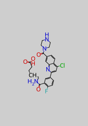 CCCC(=O)O.NC(=O)c1cc(-c2cc(Cl)c3ccc(C(=O)N4CCNCC4)cc3n2)ccc1F